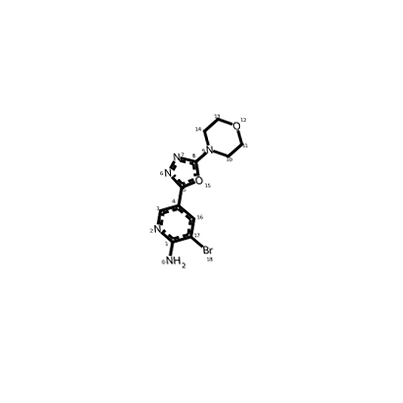 Nc1ncc(-c2nnc(N3CCOCC3)o2)cc1Br